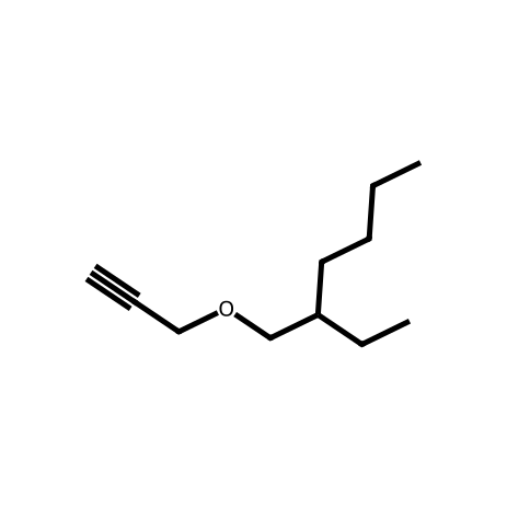 C#CCOCC(CC)CCCC